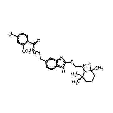 CC1(C)CCCC(C)(C)N1CCSc1nc2cc(CCNC(=O)c3ccc(Cl)cc3C(=O)O)ccc2[nH]1